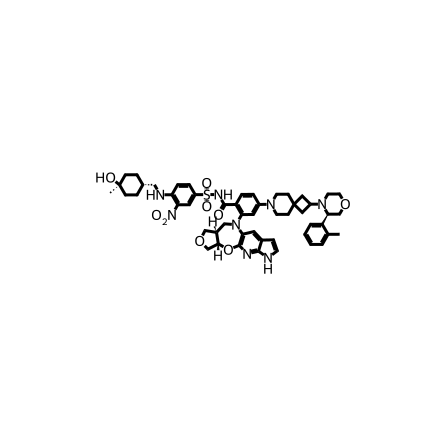 Cc1ccccc1[C@@H]1COCCN1C1CC2(CCN(c3ccc(C(=O)NS(=O)(=O)c4ccc(NC[C@H]5CC[C@](C)(O)CC5)c([N+](=O)[O-])c4)c(N4C[C@@H]5COC[C@H]5Oc5nc6[nH]ccc6cc54)c3)CC2)C1